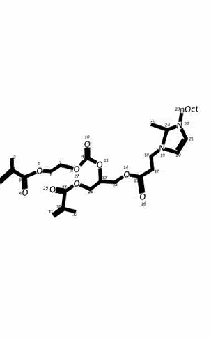 C=C(C)C(=O)OCCOC(=O)OC(COC(=O)CCN1C=CN(CCCCCCCC)C1C)COC(=O)C(=C)C